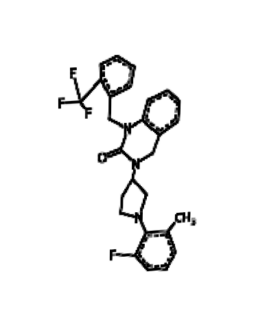 Cc1cccc(F)c1N1CCC(N2Cc3ccccc3N(Cc3ccccc3C(F)(F)F)C2=O)C1